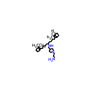 CC1(C)C2CCC(C2)C1CCCCC(CCCCC1C2CCC(C2)C1(C)C)NCC1CCN(CCCN)CC1